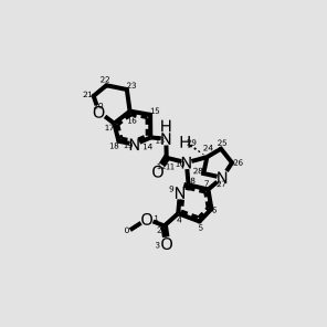 COC(=O)c1ccc2c(n1)N(C(=O)Nc1cc3c(cn1)OCCC3)[C@H]1CCN2C1